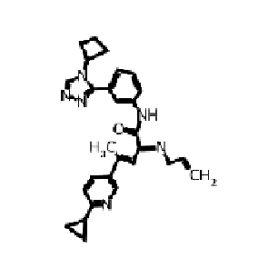 C=CC/N=C(\C=C(/C)c1ccc(C2CC2)nc1)C(=O)Nc1cccc(-c2nncn2C2CCC2)c1